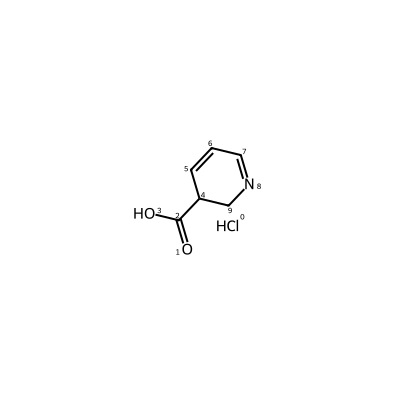 Cl.O=C(O)C1C=CC=NC1